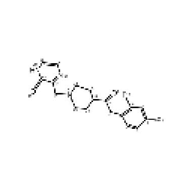 O=C(Cc1ccc(F)cc1F)C1CCN(Cc2ncc[nH]c2=O)CC1